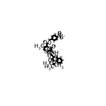 CC1=C(C(=O)OCc2ccc([N+](=O)[O-])cc2)N2C(=O)[C@@H](NC(=O)C(Oc3ccccc3)C(=O)OC(C)(C)C)[C@@H]2SC1